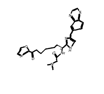 CN(C)CC(=O)N[C@@H](CCCCCC(=O)c1ncco1)c1nc(-c2ccc3nccnc3c2)c[nH]1